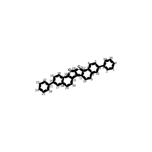 c1ccc(-c2ccc3c(ccc4c3sc3sc5c6ccc(-c7ccccc7)cc6ccc5c34)c2)cc1